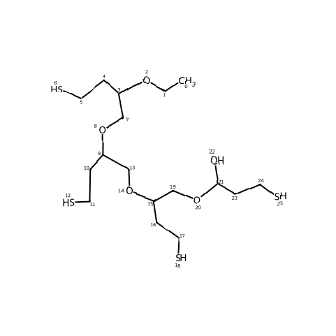 CCOC(CCS)COC(CCS)COC(CCS)COC(O)CCS